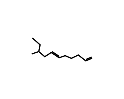 C=CCCCC=CCC(C)CC